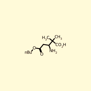 CCCCOC(=O)CC(N)C(C)(C)C(=O)O